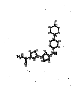 CN1CCN(c2ccc(Nc3nnc(-c4cc(C(N)=O)cs4)o3)cc2)CC1